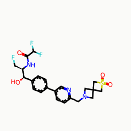 O=C(N[C@H](CF)[C@H](O)c1ccc(-c2ccc(CN3CC4(C3)CS(=O)(=O)C4)nc2)cc1)C(F)F